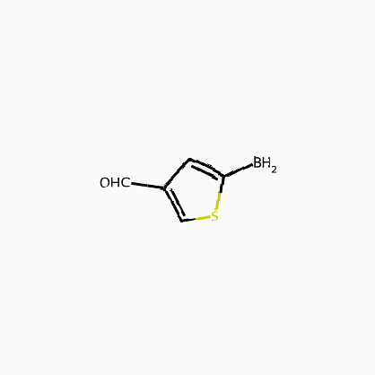 Bc1cc(C=O)cs1